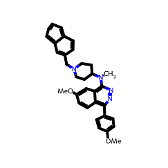 COc1ccc(-c2nnc(N(C)C3CCN(Cc4ccc5ccccc5c4)CC3)c3cc(OC)ccc23)cc1